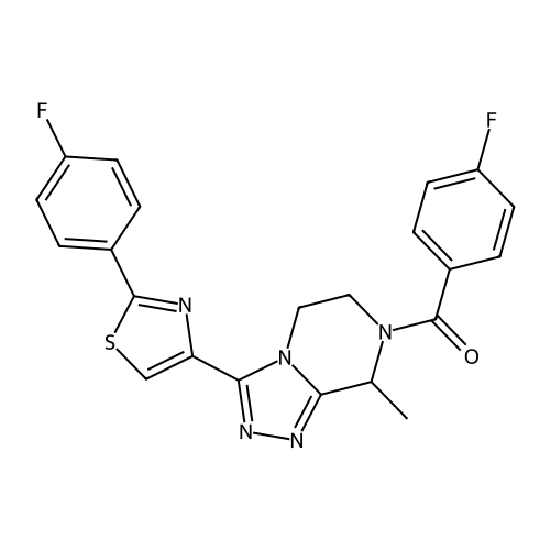 CC1c2nnc(-c3csc(-c4ccc(F)cc4)n3)n2CCN1C(=O)c1ccc(F)cc1